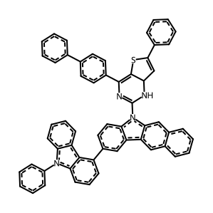 C1=C(c2ccccc2)SC2=C(c3ccc(-c4ccccc4)cc3)N=C(n3c4ccc(-c5cccc6c5c5ccccc5n6-c5ccccc5)cc4c4cc5ccccc5cc43)NC12